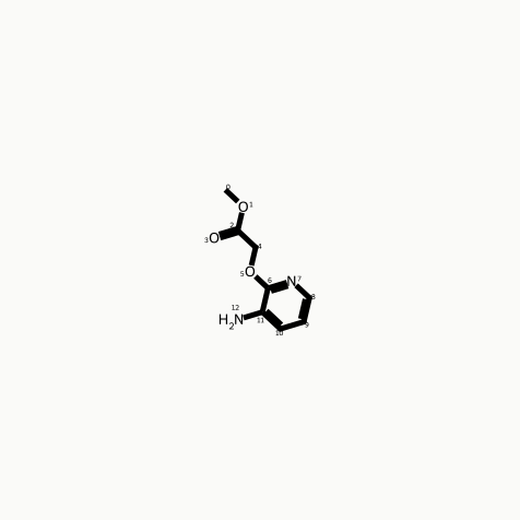 COC(=O)COc1ncccc1N